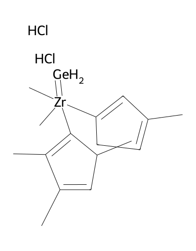 CC1=CC[C]([Zr]([CH3])([CH3])(=[GeH2])[C]2=C(C)C(C)=CC2C)=C1.Cl.Cl